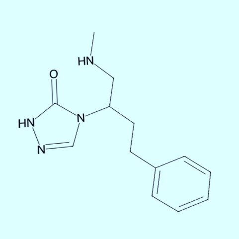 CNCC(CCc1ccccc1)n1cn[nH]c1=O